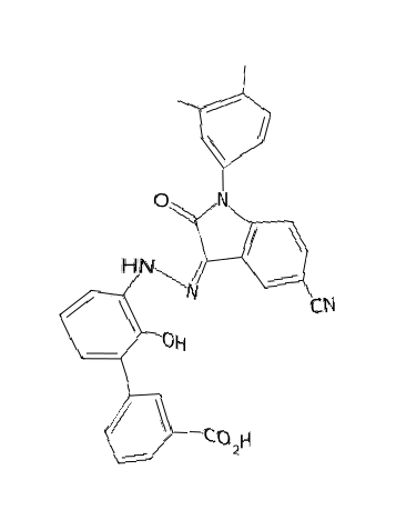 Cc1ccc(N2C(=O)C(=NNc3cccc(-c4cccc(C(=O)O)c4)c3O)c3cc(C#N)ccc32)cc1C